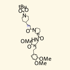 COC(=O)[C@H](CCc1ccc(OC)c(OC)c1)CNC(=O)[C@@H]1CCCN(C(=O)/C=C/C2CCN(C(=O)OC(C)(C)C)CC2)C1